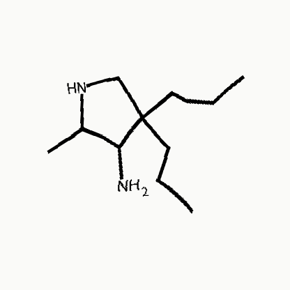 CCCC1(CCC)CNC(C)C1N